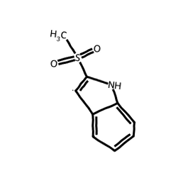 CS(=O)(=O)c1[c]c2ccccc2[nH]1